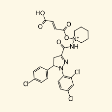 O=C(O)C=CC(=O)O[N+]1(NC(=O)C2=NN(c3ccc(Cl)cc3Cl)C(c3ccc(Cl)cc3)C2)CCCCC1